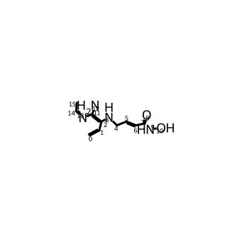 C=C/C(NC/C=C/C(=O)NO)=C(N)\N=C/C